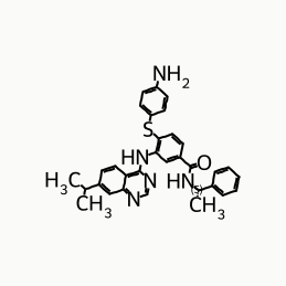 CC(C)c1ccc2c(Nc3cc(C(=O)N[C@@H](C)c4ccccc4)ccc3Sc3ccc(N)cc3)ncnc2c1